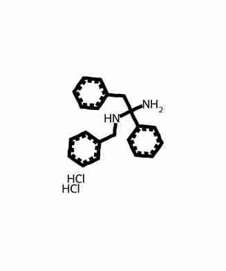 Cl.Cl.NC(Cc1ccccc1)(NCc1ccccc1)c1ccccc1